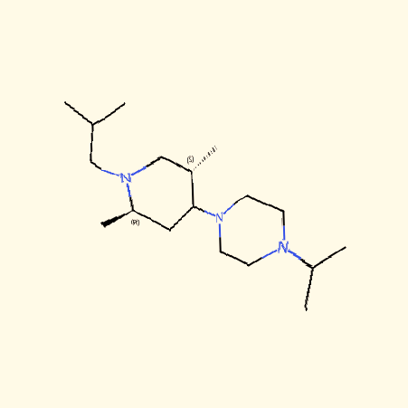 CC(C)CN1C[C@H](C)C(N2CCN(C(C)C)CC2)C[C@H]1C